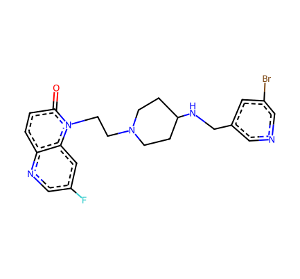 O=c1ccc2ncc(F)cc2n1CCN1CCC(NCc2cncc(Br)c2)CC1